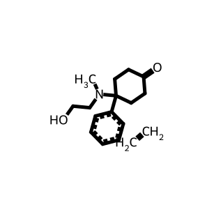 C=C.CN(CCO)C1(c2ccccc2)CCC(=O)CC1